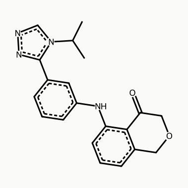 CC(C)n1cnnc1-c1cccc(Nc2cccc3c2C(=O)COC3)c1